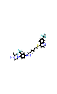 CC1CN(c2ccc(NCCCCCCSc3ccnc4cc(C(F)(F)F)ccc34)cc2C(F)(F)F)CCN1